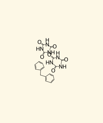 O=c1[nH]c(=O)[nH]c(=O)[nH]1.O=c1[nH]c(=O)[nH]c(=O)[nH]1.c1ccc(Cc2ccccc2)cc1